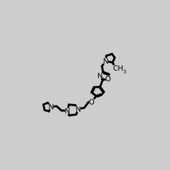 CC1CCCN1Cc1coc(-c2ccc(OCCN3CCN(CCN4CCCC4)CC3)cc2)n1